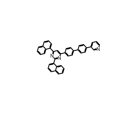 c1cncc(-c2ccc(-c3ccc(-c4cc(-c5cccc6ccccc56)nc(-c5cccc6ccccc56)n4)cc3)cc2)c1